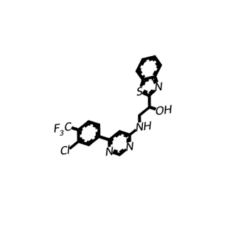 OC(CNc1cc(-c2ccc(C(F)(F)F)c(Cl)c2)ncn1)c1nc2ccccc2s1